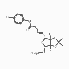 CCCCCCCO[C@H]1O[C@H](/C=N/OC(=O)Nc2ccc(Cl)cc2)[C@@H]2OC(C)(C)O[C@H]12